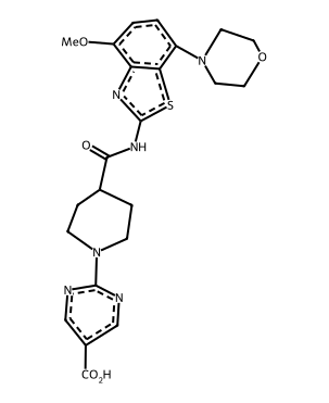 COc1ccc(N2CCOCC2)c2sc(NC(=O)C3CCN(c4ncc(C(=O)O)cn4)CC3)nc12